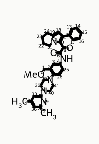 COCc1cc(NC(=O)C(=O)c2c(-c3ccccc3)cc3n2CCCC3)ccc1N1CCN(c2cc(C)cc(C)n2)CC1